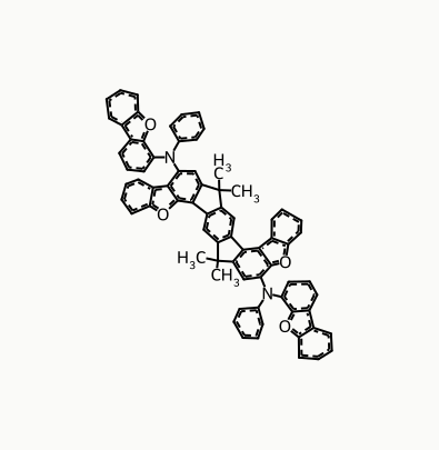 CC1(C)c2cc3c(cc2-c2c1cc(N(c1ccccc1)c1cccc4c1oc1ccccc14)c1c2oc2ccccc21)C(C)(C)c1cc(N(c2ccccc2)c2cccc4c2oc2ccccc24)c2oc4ccccc4c2c1-3